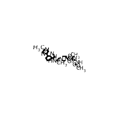 COC(=O)Nc1nc(C)c(S(=O)(=O)N2CCN(C[C@H](C)Nc3ncnc4c(-c5cnc(C)cn5)cccc34)CC2)s1